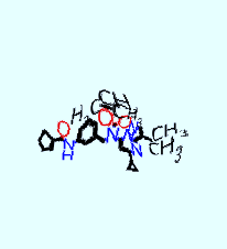 CC(C)c1cnn2c(N(Cc3cccc(NC(=O)C4=CCCC4)c3)C(=O)OC(C)(C)C)cc(C3CC3)nc12